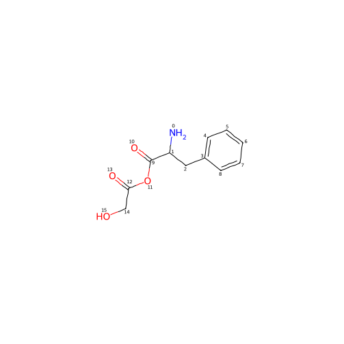 NC(Cc1ccccc1)C(=O)OC(=O)CO